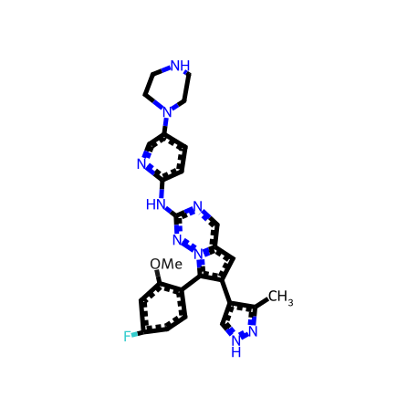 COc1cc(F)ccc1-c1c(-c2c[nH]nc2C)cc2cnc(Nc3ccc(N4CCNCC4)cn3)nn12